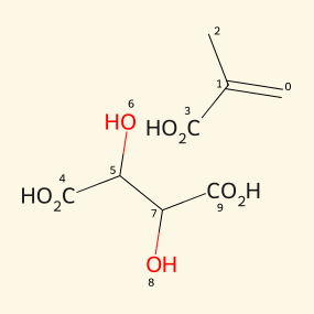 C=C(C)C(=O)O.O=C(O)C(O)C(O)C(=O)O